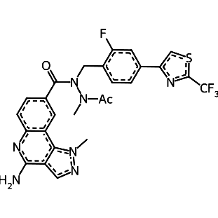 CC(=O)N(C)N(Cc1ccc(-c2csc(C(F)(F)F)n2)cc1F)C(=O)c1ccc2nc(N)c3cnn(C)c3c2c1